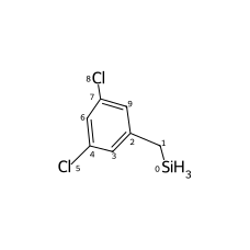 [SiH3]Cc1cc(Cl)cc(Cl)c1